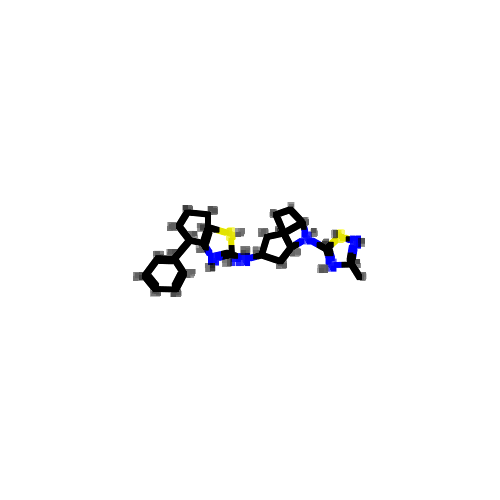 Cc1nsc(N2C3CCC34CC(Nc3nc5c(s3)CCCC5c3ccccc3)CC24)n1